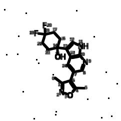 Cc1noc(C)c1-c1cnc2[nH]cc(C3(O)CCC(F)(F)CC3)c2c1